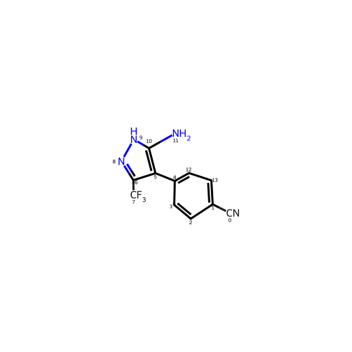 N#Cc1ccc(-c2c(C(F)(F)F)n[nH]c2N)cc1